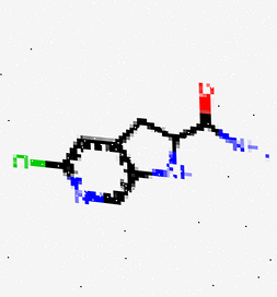 NC(=O)C1Cc2cc(Cl)ncc2N1